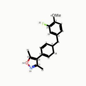 COc1ccc(CC2C=CC(c3c(C)noc3C)=CC2)cc1F